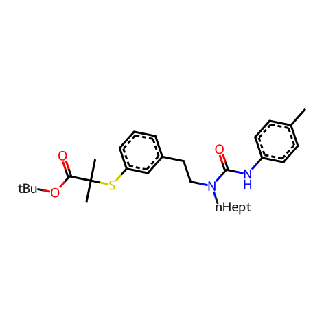 CCCCCCCN(CCc1cccc(SC(C)(C)C(=O)OC(C)(C)C)c1)C(=O)Nc1ccc(C)cc1